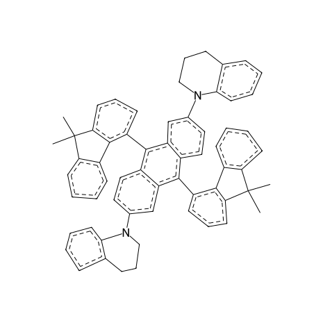 CC1(C)c2ccccc2-c2c(-c3c4ccc(N5CCCc6ccccc65)cc4c(-c4cccc5c4-c4ccccc4C5(C)C)c4ccc(N5CCCc6ccccc65)cc34)cccc21